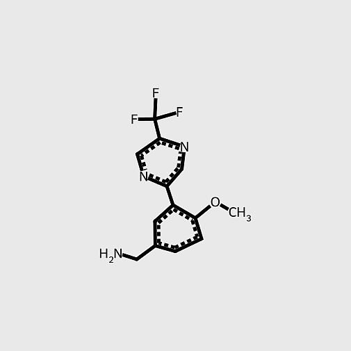 COc1ccc(CN)cc1-c1cnc(C(F)(F)F)cn1